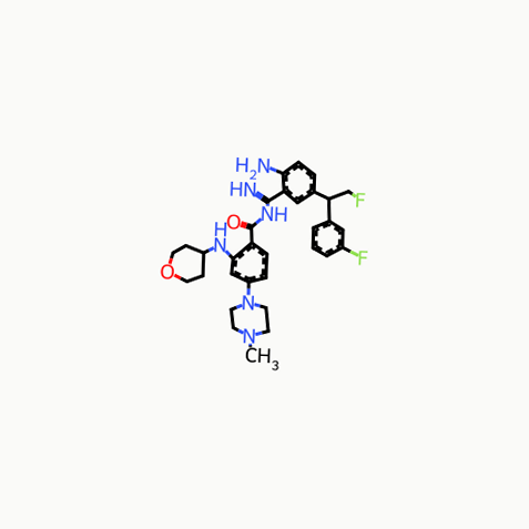 CN1CCN(c2ccc(C(=O)NC(=N)c3cc(C(CF)c4cccc(F)c4)ccc3N)c(NC3CCOCC3)c2)CC1